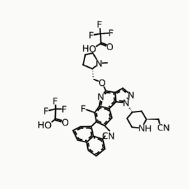 Cc1cc2c(nc(OC[C@@H]3CCCN3C)c3cnn([C@H]4CCN[C@H](CC#N)C4)c32)c(F)c1-c1cccc2cccc(C#N)c12.O=C(O)C(F)(F)F.O=C(O)C(F)(F)F